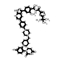 Cc1cc(-c2n[nH]c3ncc(-c4ccc(N5CCN(CC6CCN(c7cc(F)ccc7N7CCC(=O)NC7=O)CC6)CC5)cc4)cc23)ccc1C(C)NC(=O)c1noc(C(C)(C)C)n1